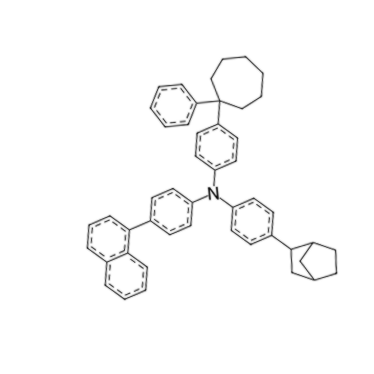 c1ccc(C2(c3ccc(N(c4ccc(-c5cccc6ccccc56)cc4)c4ccc(C5CC6CCC5C6)cc4)cc3)CCCCCC2)cc1